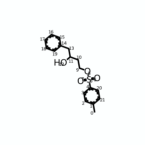 Cc1ccc(S(=O)(=O)OCCC(O)Cc2ccccc2)cc1